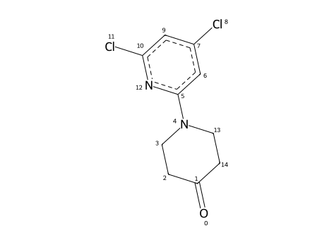 O=C1CCN(c2cc(Cl)cc(Cl)n2)CC1